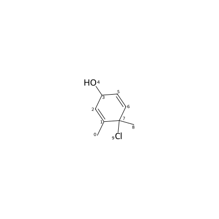 CC1=CC(O)C=CC1(C)Cl